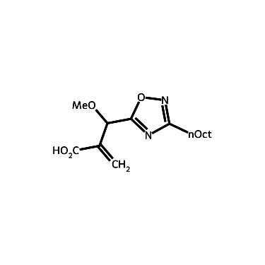 C=C(C(=O)O)C(OC)c1nc(CCCCCCCC)no1